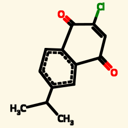 CC(C)c1ccc2c(c1)C(=O)C=C(Cl)C2=O